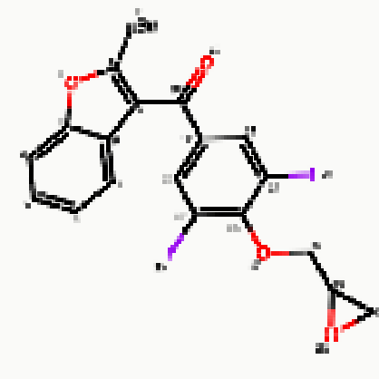 CCCCc1oc2ccccc2c1C(=O)c1cc(I)c(OCC2CO2)c(I)c1